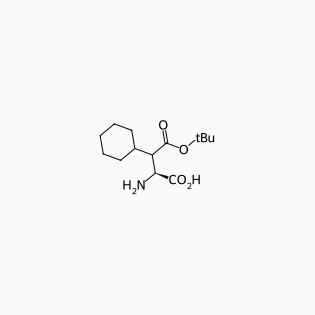 CC(C)(C)OC(=O)C(C1CCCCC1)[C@H](N)C(=O)O